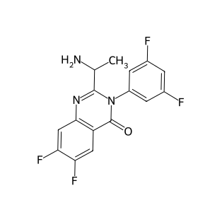 CC(N)c1nc2cc(F)c(F)cc2c(=O)n1-c1cc(F)cc(F)c1